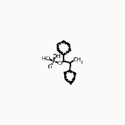 CC(c1ccccc1)C(OP(=O)(O)O)c1ccccc1